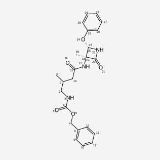 CC(CNC(=O)OCc1ccccc1)CC(=O)N[C@]1(C)C(=O)N[C@H]1Oc1ccccc1